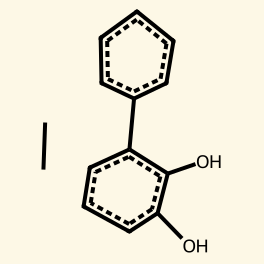 CC.Oc1cccc(-c2ccccc2)c1O